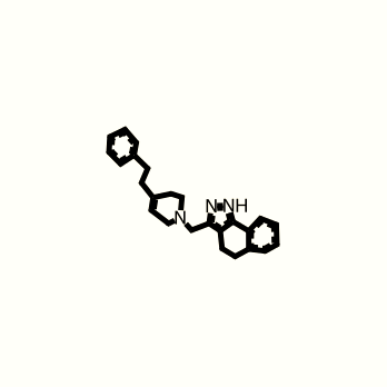 C1=C(CCc2ccccc2)CCN(Cc2n[nH]c3c2CCc2ccccc2-3)C1